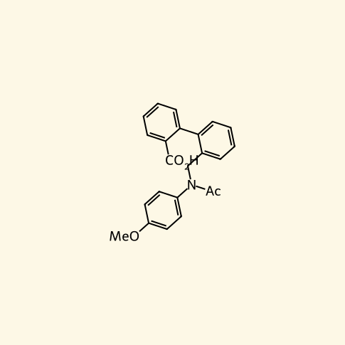 COc1ccc(N(Cc2ccccc2-c2ccccc2C(=O)O)C(C)=O)cc1